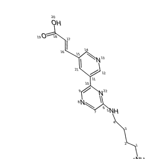 NCCCCNc1cncc(-c2cncc(/C=C/C(=O)O)c2)n1